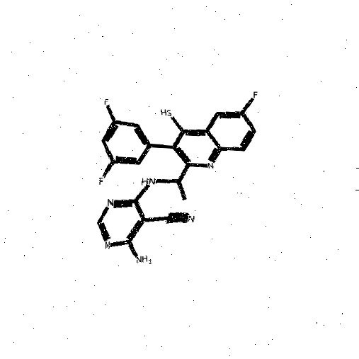 CC(Nc1ncnc(N)c1C#N)c1nc2ccc(F)cc2c(S)c1-c1cc(F)cc(F)c1